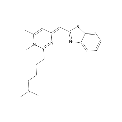 CC1=C/C(=C/c2nc3ccccc3s2)N=C(CCCCN(C)C)N1C